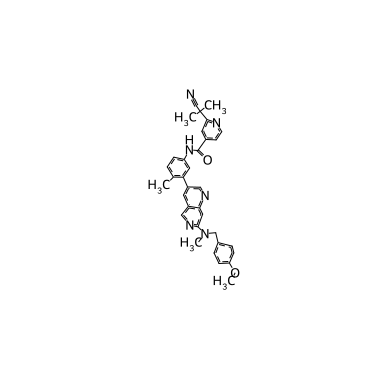 COc1ccc(CN(C)c2cc3ncc(-c4cc(NC(=O)c5ccnc(C(C)(C)C#N)c5)ccc4C)cc3cn2)cc1